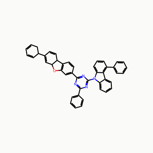 C1=CCC(C2=CC3Oc4cc(-c5nc(-c6ccccc6)nc(-n6c7ccccc7c7c(-c8ccccc8)cccc76)n5)ccc4C3C=C2)C=C1